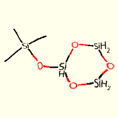 C[Si](C)(C)O[SiH]1O[SiH2]O[SiH2]O1